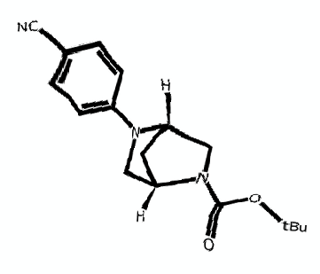 CC(C)(C)OC(=O)N1C[C@@H]2C[C@H]1CN2c1ccc(C#N)cc1